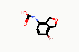 O=C(O)Nc1ccc(Br)c2c1COC2